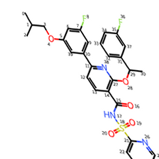 CC(C)COc1cc(F)cc(-c2ccc(C(=O)NS(=O)(=O)c3ccccn3)c(OC(C)c3cccc(F)c3)n2)c1